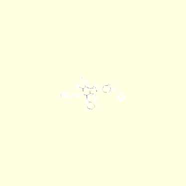 CCC(C)n1c(=O)n(CCCO)c(=O)c2c1nc(-c1ccc(OC3CCCC3)nc1C)n2Cc1ccccc1